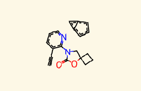 C#Cc1cccnc1N1CC2(CCC2)OC1=O.c1cc2cc-2c1